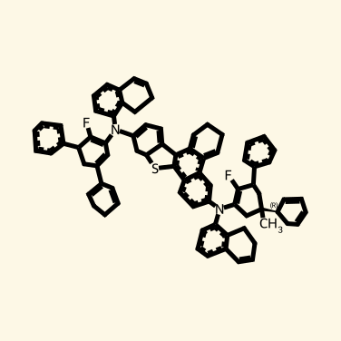 CC1([C@H]2C=CC=CC2)CC(N(c2ccc3c4c(c5c(c3c2)=CCCC=5)C2=CC=C(N(C3=C(F)C(c5ccccc5)CC(C5=CCCC=C5)=C3)c3cccc5c3CCC=C5)CC2S4)c2cccc3c2CCC=C3)=C(F)C(c2ccccc2)C1